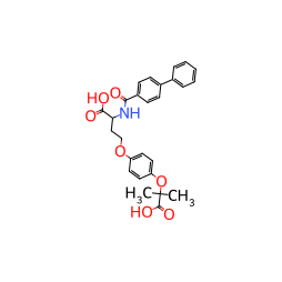 CC(C)(Oc1ccc(OCCC(NC(=O)c2ccc(-c3ccccc3)cc2)C(=O)O)cc1)C(=O)O